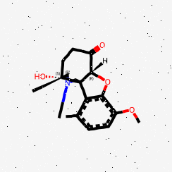 COc1ccc(C)c2c1O[C@H]1C(=O)CC[C@@]3(O)[C@@H](C)N(C)CC213